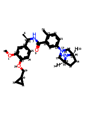 COc1cc([C@@H](C)NC(=O)c2cc(N3C[C@H]4CC[C@@H](C3)N4)ccc2C)ccc1OCC1CC1